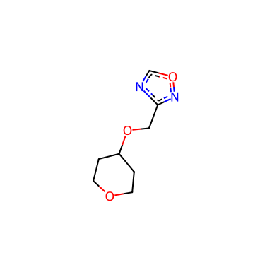 c1nc(COC2CCOCC2)no1